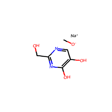 C[O-].OCc1ncc(O)c(O)n1.[Na+]